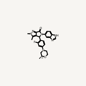 Cc1c2c(nn1C)C(=O)N(c1ccc3[nH]cnc3c1)C2c1ccc(N2CCO[C@@H](C)C2)cc1F